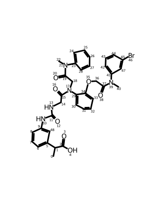 CC(C(=O)O)c1cccc(NC(=O)NCC(=O)N(CC(=O)N(C)c2ccccc2)c2ccccc2OCC(=O)N(C)c2cccc(Br)c2)c1